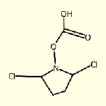 O=C(O)ON1C(Cl)CCC1Cl